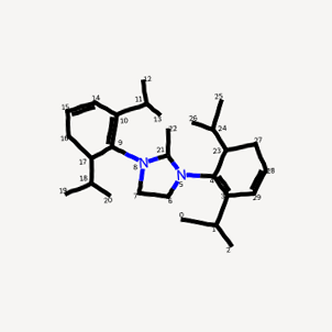 CC(C)C1=C(N2CCN(C3=C(C(C)C)C=CCC3C(C)C)C2C)C(C(C)C)CC=C1